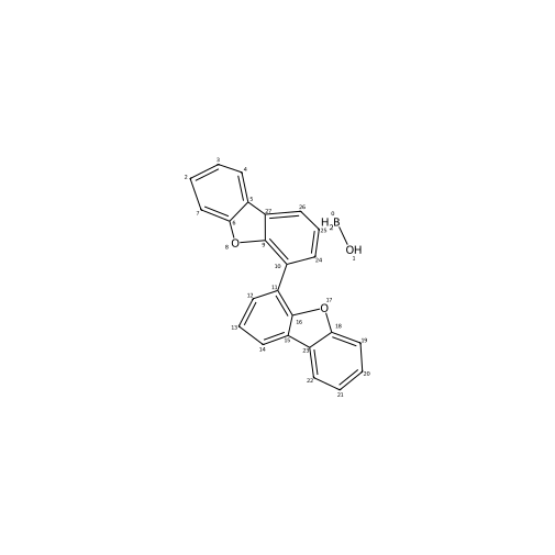 BO.c1ccc2c(c1)oc1c(-c3cccc4c3oc3ccccc34)cccc12